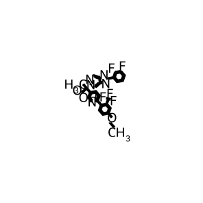 CCCOc1ccc(-c2ccc(C(C)(C(=O)O)n3cc4nc(-c5cccc(F)c5F)nc-4cn3)cn2)c(C(F)(F)F)c1